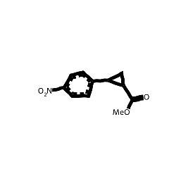 COC(=O)C1CC1c1ccc([N+](=O)[O-])cc1